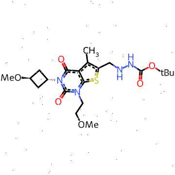 COCCn1c(=O)n([C@H]2C[C@H](OC)C2)c(=O)c2c(C)c(CNNC(=O)OC(C)(C)C)sc21